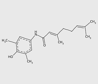 CC(C)=CCC/C(C)=C/C(=O)Nc1cc(C)c(O)c(C)c1